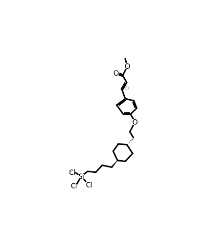 COC(=O)/C=C/c1ccc(OCC[C@H]2CC[C@H](CCCC[Si](Cl)(Cl)Cl)CC2)cc1